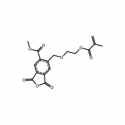 C=C(C)C(=O)OCCOCc1cc2c(cc1C(=O)OC)C(=O)OC2=O